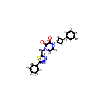 O=c1c(=O)n([C@H]2C[C@H](c3ccccc3)C2)ccn1Cc1nnc(-c2ccccc2)s1